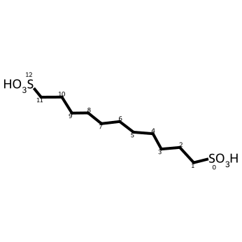 O=S(=O)(O)CCCCCCCCCCCS(=O)(=O)O